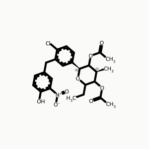 CCC1O[C@@H](c2ccc(Cl)c(Cc3ccc(O)c([N+](=O)[O-])c3)c2)C(OC(C)=O)[C@@H](C)C1OC(C)=O